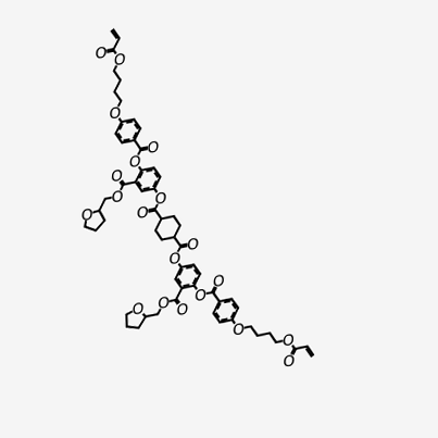 C=CC(=O)OCCCCOc1ccc(C(=O)Oc2ccc(OC(=O)C3CCC(C(=O)Oc4ccc(OC(=O)c5ccc(OCCCCOC(=O)C=C)cc5)c(C(=O)OCC5CCCO5)c4)CC3)cc2C(=O)OCC2CCCO2)cc1